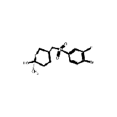 C[C@]1(O)CC[C@@H](CS(=O)(=O)c2ccc(Br)c(F)c2)CC1